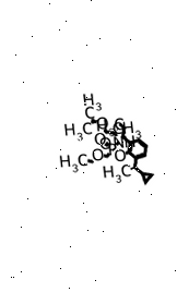 CCCc1cccc([C@H](C)C2CC2)c1OP(=O)(COCC)N[C@@H](C)C(=O)OC(C)C